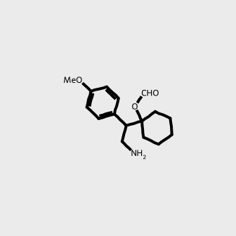 COc1ccc(C(CN)C2(OC=O)CCCCC2)cc1